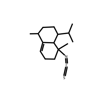 CC1CCC(C(C)C)C2C1=CCCC2(C)N=C=S